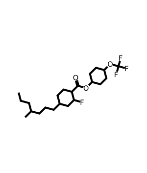 CCCC(C)CCCC1CCC(C(=O)OC2CCC(OC(F)(F)F)CC2)C(F)C1